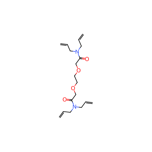 C=CCN(CC=C)C(=O)COCCOCC(=O)N(CC=C)CC=C